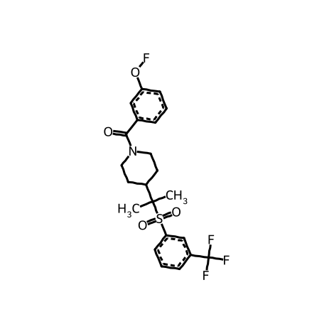 CC(C)(C1CCN(C(=O)c2cccc(OF)c2)CC1)S(=O)(=O)c1cccc(C(F)(F)F)c1